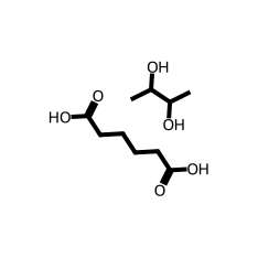 CC(O)C(C)O.O=C(O)CCCCC(=O)O